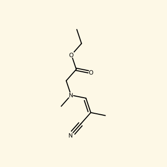 CCOC(=O)CN(C)C=C(C)C#N